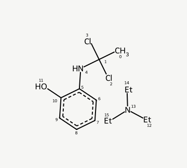 CC(Cl)(Cl)Nc1ccccc1O.CCN(CC)CC